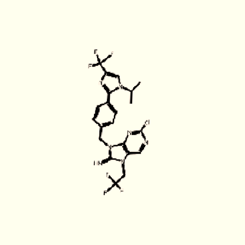 CC(C)n1cc(C(F)(F)F)nc1-c1ccc(Cn2c(=N)n(CC(F)(F)F)c3cnc(Cl)nc32)cc1